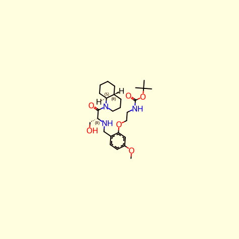 COc1ccc(CN[C@H](CO)C(=O)N2CCC[C@H]3CCCC[C@@H]32)c(OCCNC(=O)OC(C)(C)C)c1